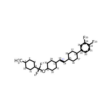 CC1CCC(C(F)(F)OC2CCC(/C=C/C3CCC(c4ccc(F)c(F)c4)CC3)CC2)CC1